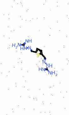 N=C(N)N/N=C/c1ccc(/C=N/NC(=N)N)s1